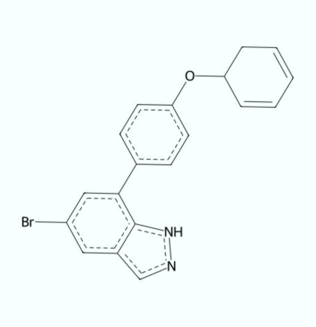 Brc1cc(-c2ccc(OC3C=CC=CC3)cc2)c2[nH]ncc2c1